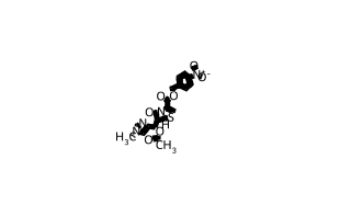 CC(=O)OC(c1cn(C)cn1)C1C(=O)N2C(C(=O)OCc3ccc([N+](=O)[O-])cc3)=CS[C@H]12